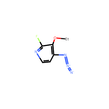 CCOc1c(N=[N+]=[N-])ccnc1F